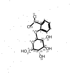 O=C(O)[C@H]1OC(Oc2ccccc2N(Cl)Cl)[C@H](O)[C@@H](O)[C@@H]1O